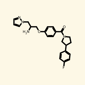 NC(COc1ccc(C(=O)N2CCC(c3ccc(F)cc3)C2)cc1)Cn1cccn1